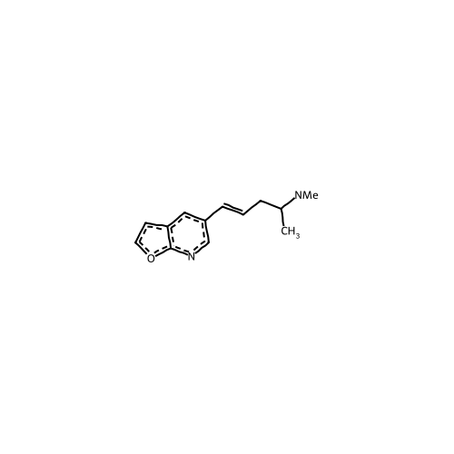 CNC(C)CC=Cc1cnc2occc2c1